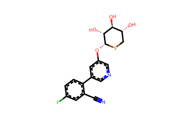 N#Cc1cc(F)ccc1-c1cncc(O[C@H]2SC[C@@H](O)[C@H](O)[C@H]2O)c1